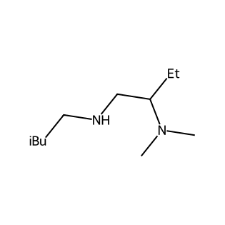 CCC(C)CNCC(CC)N(C)C